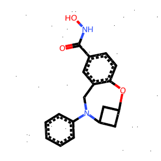 O=C(NO)c1ccc2c(c1)CN(c1ccccc1)C1CC(C1)O2